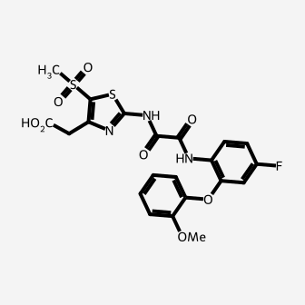 COc1ccccc1Oc1cc(F)ccc1NC(=O)C(=O)Nc1nc(CC(=O)O)c(S(C)(=O)=O)s1